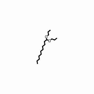 CCCCCCCCCCC(OCCC)OCCC